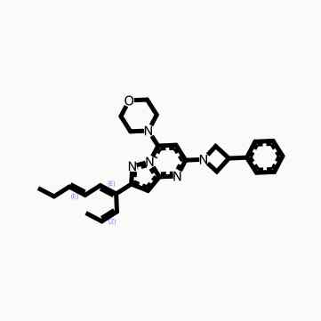 C\C=C/C(=C\C=C\CC)c1cc2nc(N3CC(c4ccccc4)C3)cc(N3CCOCC3)n2n1